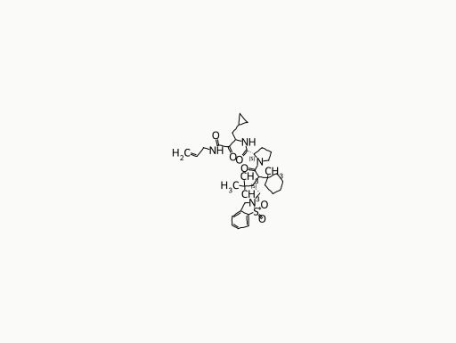 C=CCNC(=O)C(=O)C(CC1CC1)NC(=O)[C@@H]1CCCN1C(=O)C([C@H](CN1Cc2ccccc2S1(=O)=O)C(C)(C)C)C1(C)CCCCC1